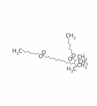 CCCCCCCCOC(=O)CCCCCCCCCCCC(C(C)C)C(C(=O)OCCCCCCCC)C(C)C